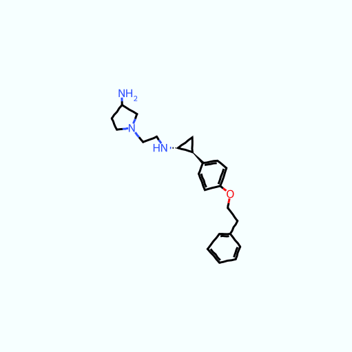 NC1CCN(CCN[C@@H]2C[C@H]2c2ccc(OCCc3ccccc3)cc2)C1